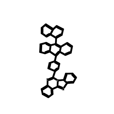 c1ccc2c(-c3c4ccccc4c(-c4ccc(-c5nc6ccccc6c6nc7ccccc7n56)cc4)c4ccccc34)cccc2c1